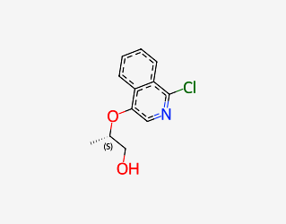 C[C@@H](CO)Oc1cnc(Cl)c2ccccc12